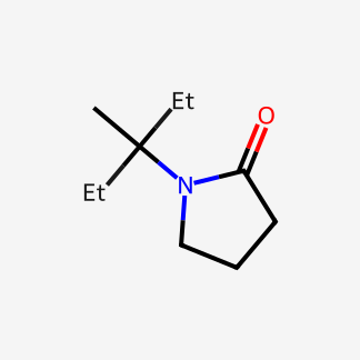 CCC(C)(CC)N1CCCC1=O